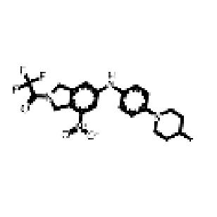 CC1CCN(c2ccc(Nc3cc4c(c([N+](=O)[O-])c3)CN(C(=O)C(F)(F)F)C4)cc2)CC1